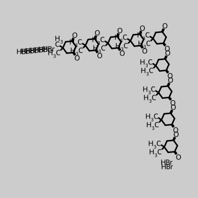 Br.Br.Br.Br.Br.Br.Br.Br.Br.CC1(C)CC(=O)CC(=O)C1.CC1(C)CC(=O)CC(=O)C1.CC1(C)CC(=O)CC(=O)C1.CC1(C)CC(=O)CC(=O)C1.CC1(C)CC(=O)CC(=O)C1.CC1(C)CC(=O)CC(=O)C1.CC1(C)CC(=O)CC(=O)C1.CC1(C)CC(=O)CC(=O)C1.CC1(C)CC(=O)CC(=O)C1